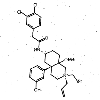 C=CC[N@@+]1(CC(C)C)CC[C@]2(c3cccc(O)c3)C[C@H](NC(=O)Cc3ccc(Cl)c(Cl)c3)CCC2(OC)C1